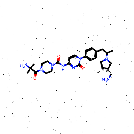 CC(Cc1ccc(-n2ccc(NC(=O)N3CCN(C(=O)C(C)(C)N)CC3)nc2=O)cc1)N1C[C@H](CN)[C@H](C)C1